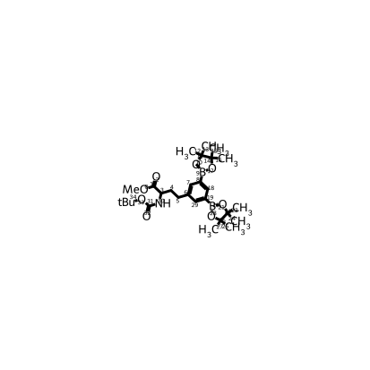 COC(=O)C(CCc1cc(B2OC(C)(C)C(C)(C)O2)cc(B2OC(C)(C)C(C)(C)O2)c1)NC(=O)OC(C)(C)C